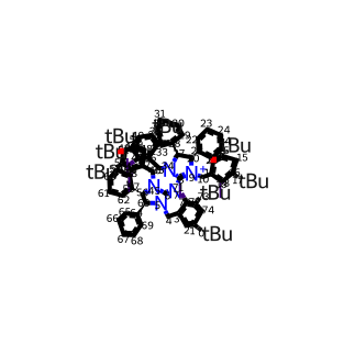 CC(C)(C)c1cc(CN2C(=NC3=[N+](Cc4cc(C(C)(C)C)cc(C(C)(C)C)c4I)[C@@H](c4ccccc4)[C@H](c4ccccc4)N3Cc3cc(C(C)(C)C)cc(C(C)(C)C)c3I)N(Cc3cc(C(C)(C)C)cc(C(C)(C)C)c3I)[C@@H](c3ccccc3)[C@@H]2c2ccccc2)c(I)c(C(C)(C)C)c1